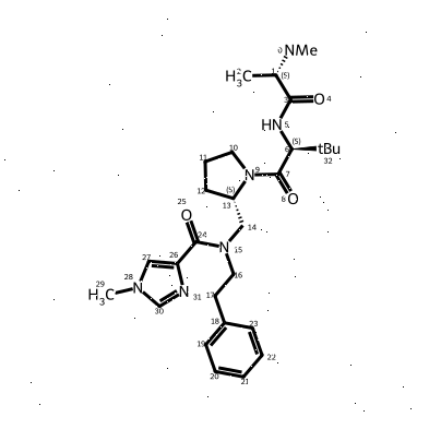 CN[C@@H](C)C(=O)N[C@H](C(=O)N1CCC[C@H]1CN(CCc1ccccc1)C(=O)c1cn(C)cn1)C(C)(C)C